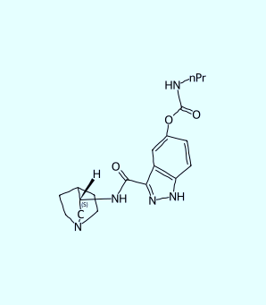 CCCNC(=O)Oc1ccc2[nH]nc(C(=O)N[C@@H]3CN4CCC3CC4)c2c1